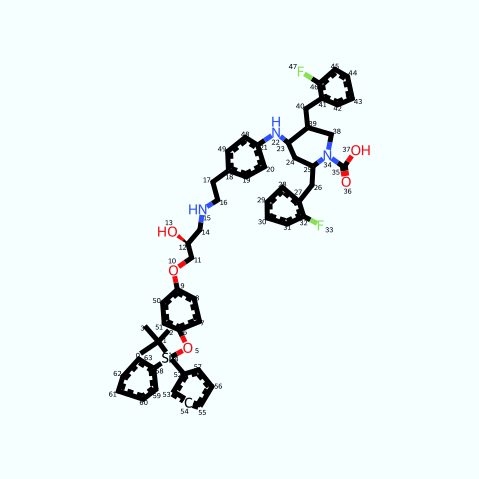 CC(C)(C)[Si](Oc1ccc(OC[C@@H](O)CNCCc2ccc(NC3CC(Cc4ccccc4F)N(C(=O)O)CC3Cc3ccccc3F)cc2)cc1)(c1ccccc1)c1ccccc1